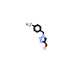 Cc1ccc(Cn2cc(C=O)nn2)cc1